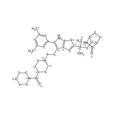 Cc1cc(C)cc(-c2[nH]c3sc(C(C)(C)CC4C5CCC4C(=O)N5)cc3c2CCN2CCC(C(=O)N3CCOCC3)CC2)c1